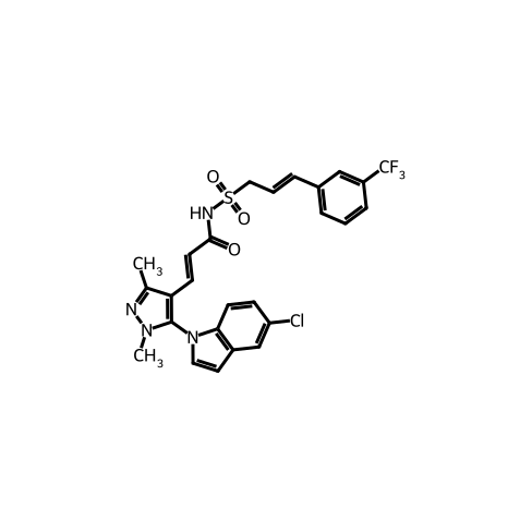 Cc1nn(C)c(-n2ccc3cc(Cl)ccc32)c1/C=C/C(=O)NS(=O)(=O)CC=Cc1cccc(C(F)(F)F)c1